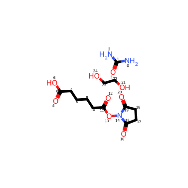 NC(N)=O.O=C(O)CCCCC(=O)ON1C(=O)CCC1=O.OCCO